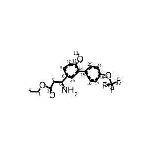 CCOC(=O)CC(N)c1ccc(OC)c(-c2ccc(OC(F)(F)F)cc2)c1